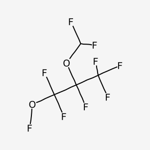 FOC(F)(F)C(F)(OC(F)F)C(F)(F)F